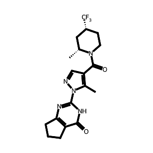 Cc1c(C(=O)N2CC[C@@H](C(F)(F)F)C[C@H]2C)cnn1-c1nc2c(c(=O)[nH]1)CCC2